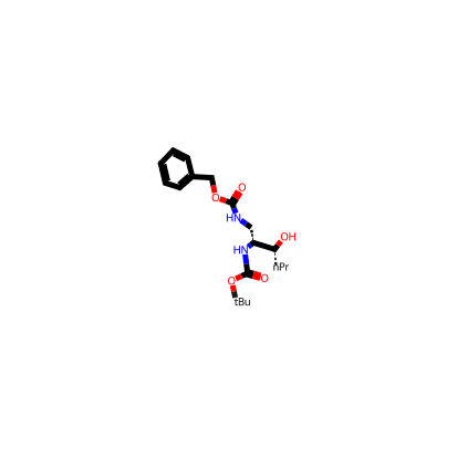 CCC[C@@H](O)[C@@H](CNC(=O)OCc1ccccc1)NC(=O)OC(C)(C)C